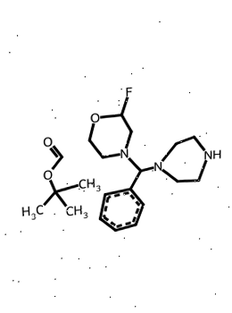 CC(C)(C)OC=O.FC1CN(C(c2ccccc2)N2CCNCC2)CCO1